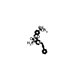 CN(C)c1ccc(Cn2c(=O)c3c(n(C)c2=O)CCN(CC#Cc2ccccc2)C3)cc1